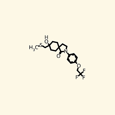 CSCC1(O)CCC2(CCN(c3ccc(OCC(F)(F)F)cc3)C2=O)CC1